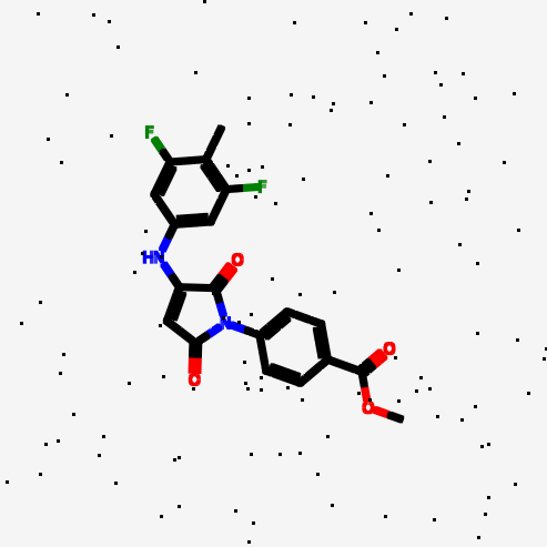 COC(=O)c1ccc(N2C(=O)C=C(Nc3cc(F)c(C)c(F)c3)C2=O)cc1